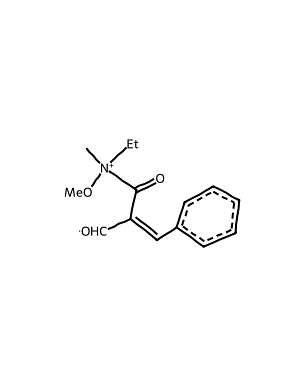 CC[N+](C)(OC)C(=O)C([C]=O)=Cc1ccccc1